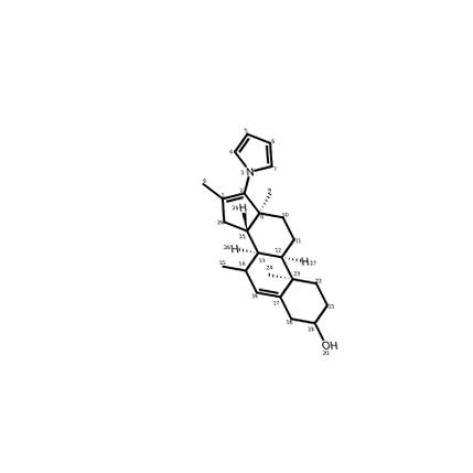 CC1=C(n2cccc2)[C@@]2(C)CC[C@@H]3[C@@H](C(C)C=C4CC(O)CC[C@@]43C)[C@@H]2C1